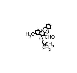 Cc1ccc2c(c1)c(OCCN(C)C)c(C=O)c(=O)n2Cc1ccccc1